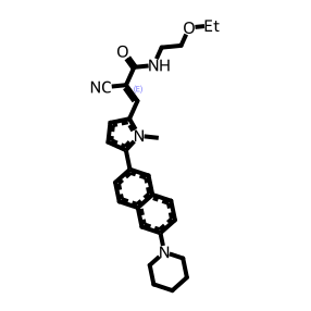 CCOCCNC(=O)/C(C#N)=C/c1ccc(-c2ccc3cc(N4CCCCC4)ccc3c2)n1C